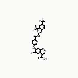 O=C(NCCc1ccc(C(F)(F)F)cc1C(F)(F)F)c1ccc(Oc2cc3c(cc2Cl)C(C(=O)O)CCO3)cc1